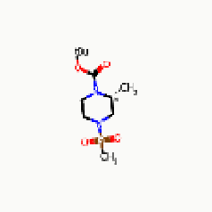 C[C@@H]1CN(S(C)(=O)=O)CCN1C(=O)OC(C)(C)C